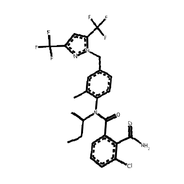 CCC(C)N(C(=O)c1cccc(Cl)c1C(N)=O)c1ccc(Cn2nc(C(F)(F)F)cc2C(F)(F)F)cc1C